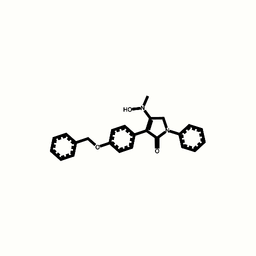 CN(O)C1=C(c2ccc(OCc3ccccc3)cc2)C(=O)N(c2ccccc2)C1